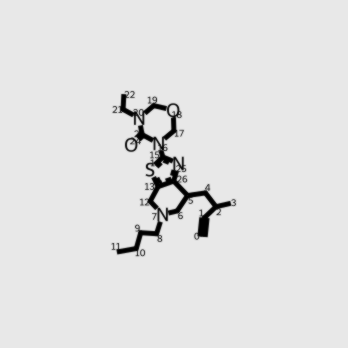 C#CC(C)CC1CN(CCCC)Cc2sc(N3COCN(CC)C3=O)nc21